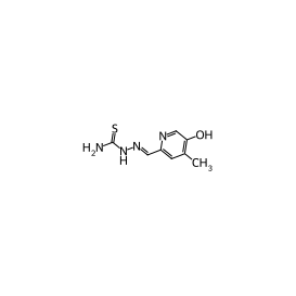 Cc1cc(C=NNC(N)=S)ncc1O